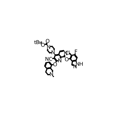 CN1CCc2cccc(Oc3nc4c(Oc5c(Cl)c(F)cc6[nH]ncc56)nccc4c(N4CCN(C(=O)OC(C)(C)C)CC4)c3C#N)c2C1